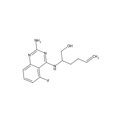 C=CCCC(CO)Nc1nc(N)nc2cccc(F)c12